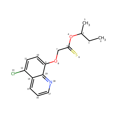 CCC(C)OC(=S)COc1ccc(Cl)c2cccnc12